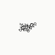 [2H]c1nc(C([2H])([2H])[S+]([O-])c2nc3nc(OC)ccc3n2[2H])c(C)c(OC)c1C